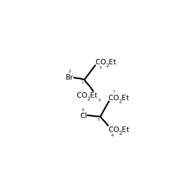 CCOC(=O)C(Br)C(=O)OCC.CCOC(=O)C(Cl)C(=O)OCC